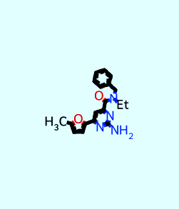 CCN(Cc1ccccc1)C(=O)c1cc(-c2ccc(C)o2)nc(N)n1